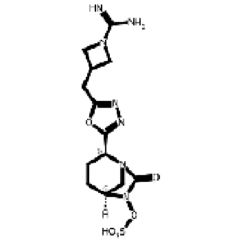 N=C(N)N1CC(Cc2nnc([C@@H]3CC[C@H]4CN3C(=O)N4OS(=O)(=O)O)o2)C1